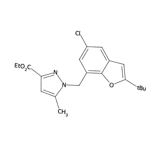 CCOC(=O)c1cc(C)n(Cc2cc(Cl)cc3cc(C(C)(C)C)oc23)n1